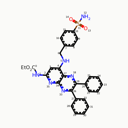 CCOC(=O)Nc1cc(NCc2ccc(S(N)(=O)=O)cc2)c2nc(-c3ccccc3)c(-c3ccccc3)nc2n1